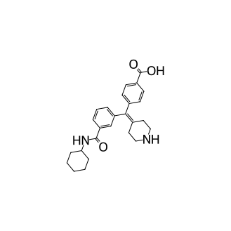 O=C(O)c1ccc(C(=C2CCNCC2)c2cccc(C(=O)NC3CCCCC3)c2)cc1